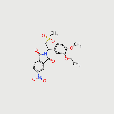 CCOc1cc(C(CS(C)(=O)=O)N2C(=O)c3ccc([N+](=O)[O-])cc3C2=O)ccc1OC